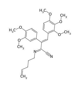 C=CCCCN=C(C#N)/C(=C/c1ccc(OC)c(OC)c1OC)c1ccc(OC)c(OC)c1